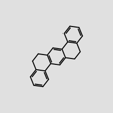 [c]1cccc2c1-c1cc3c(cc1CC2)-c1ccccc1CC3